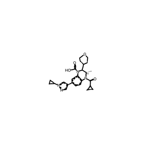 C[C@H]1C(C2CCOCC2)N(C(=O)O)c2cc(-c3cnn(C4CC4)c3)ccc2N1C(=O)C1CC1